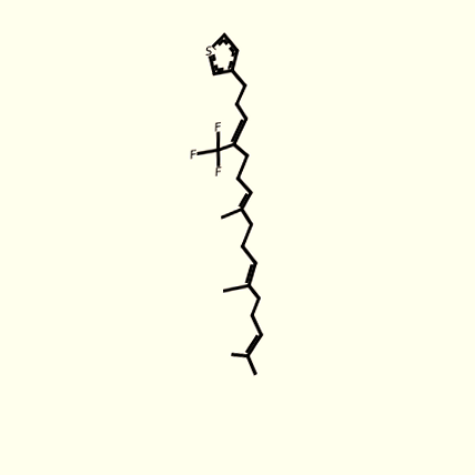 CC(C)=CCC/C(C)=C/CC/C(C)=C/CC/C(=C/CCc1ccsc1)C(F)(F)F